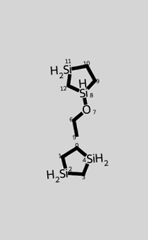 C1C[SiH2]C[SiH2]1.CCO[SiH]1CC[SiH2]C1